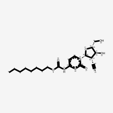 CCCCCCCCOC(=O)Nc1ccn([C@@H]2O[C@H](CO)[C@@H](O)[C@@H]2C#N)c(=O)n1